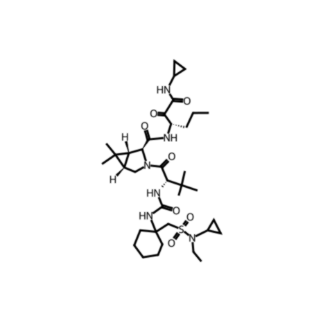 CCC[C@H](NC(=O)[C@@H]1[C@@H]2[C@H](CN1C(=O)[C@@H](NC(=O)NC1(CS(=O)(=O)N(CC)C3CC3)CCCCC1)C(C)(C)C)C2(C)C)C(=O)C(=O)NC1CC1